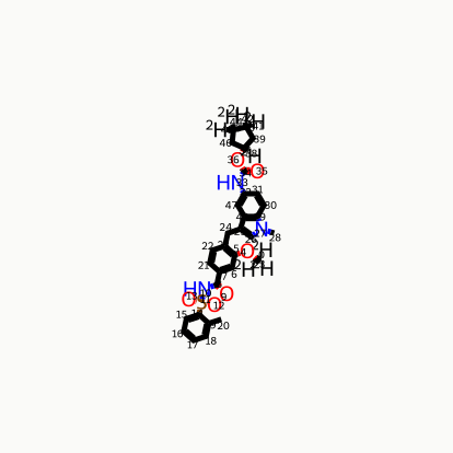 [2H]C([2H])([2H])Oc1cc(C(=O)NS(=O)(=O)c2ccccc2C)ccc1Cc1cn(C)c2ccc(NC(=O)OC3([2H])CC([2H])([2H])C([2H])([2H])C3)cc12